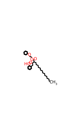 CCCCCCCCCCCCCCCC(C(=O)OCCOc1ccccc1)C(Cc1ccccc1)OO